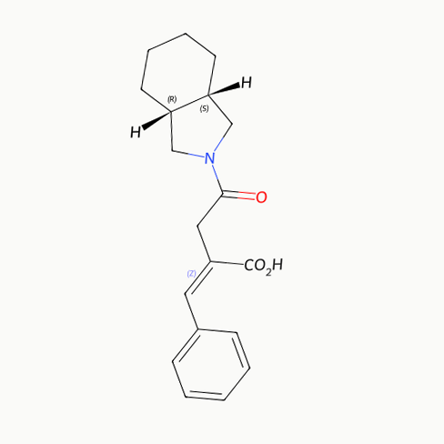 O=C(O)/C(=C\c1ccccc1)CC(=O)N1C[C@H]2CCCC[C@H]2C1